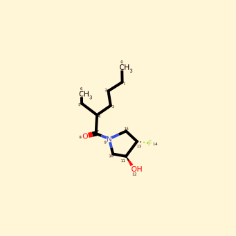 CCCCC(CC)C(=O)N1C[C@H](O)[C@@H](F)C1